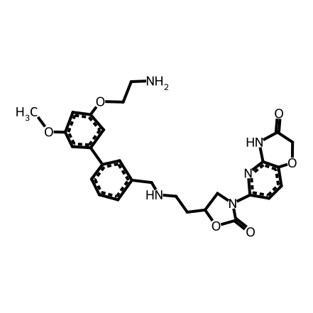 COc1cc(OCCN)cc(-c2cccc(CNCCC3CN(c4ccc5c(n4)NC(=O)CO5)C(=O)O3)c2)c1